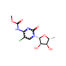 COC(=O)Nc1nc(=O)n([C@@H]2O[C@H](C)[C@@H](O)[C@H]2O)cc1F